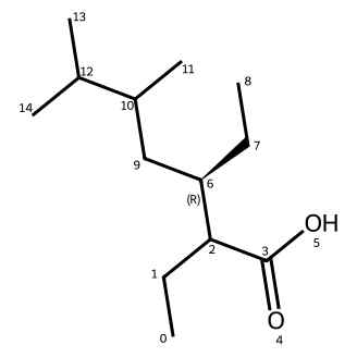 CCC(C(=O)O)[C@H](CC)CC(C)C(C)C